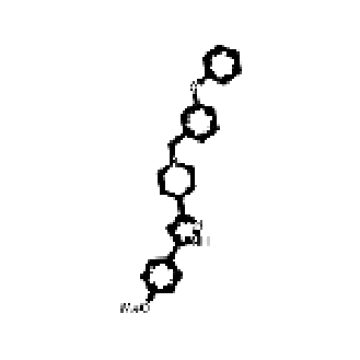 COc1ccc(-c2cc(C3CCN(Cc4cccc(Oc5ccccc5)c4)CC3)n[nH]2)cc1